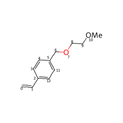 C=Cc1ccc(COCCOC)cc1